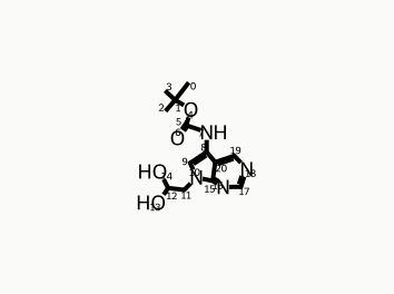 CC(C)(C)OC(=O)Nc1cn(CC(O)O)c2ncncc12